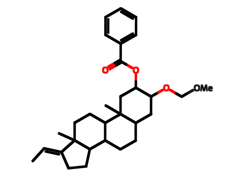 CC=C1CCC2C3CCC4CC(OCOC)C(OC(=O)c5ccccc5)CC4(C)C3CCC12C